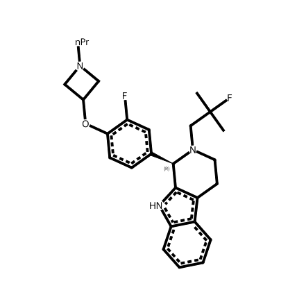 CCCN1CC(Oc2ccc([C@@H]3c4[nH]c5ccccc5c4CCN3CC(C)(C)F)cc2F)C1